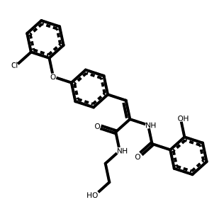 O=C(NCCO)/C(=C\c1ccc(Oc2ccccc2Cl)cc1)NC(=O)c1ccccc1O